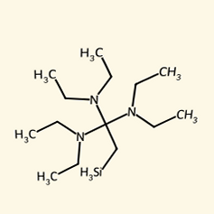 CCN(CC)C(C[SiH3])(N(CC)CC)N(CC)CC